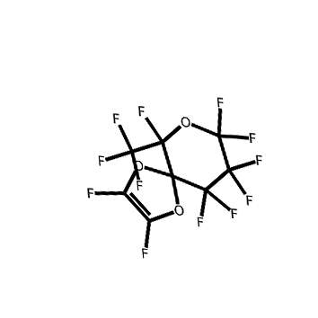 FC1=C(F)OC2(O1)C(F)(F)C(F)(F)C(F)(F)OC2(F)C(F)(F)F